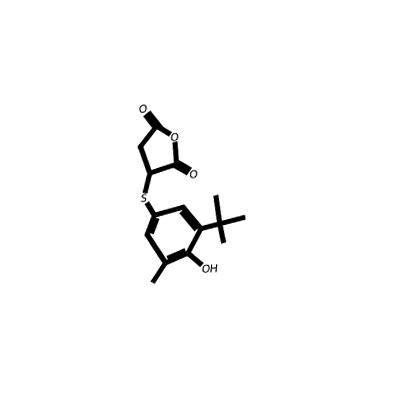 Cc1cc(SC2CC(=O)OC2=O)cc(C(C)(C)C)c1O